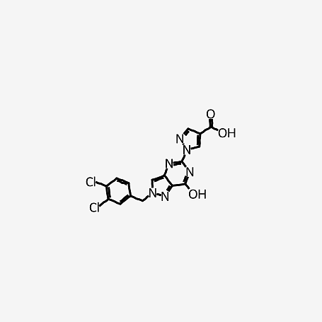 O=C(O)c1cnn(-c2nc(O)c3nn(Cc4ccc(Cl)c(Cl)c4)cc3n2)c1